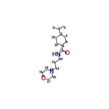 CC(C)C1CCC(C(=O)NCCCN2CCOCC2)CC1